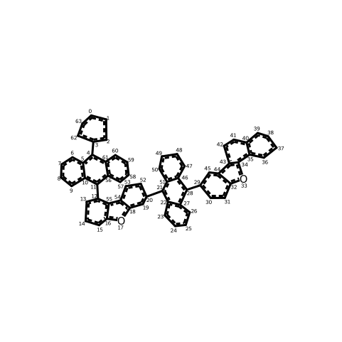 c1ccc(-c2c3ccccc3c(-c3cccc4oc5cc(-c6c7ccccc7c(-c7ccc8oc9c%10ccccc%10ccc9c8c7)c7ccccc67)ccc5c34)c3ccccc23)cc1